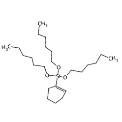 CCCCCCO[Si](OCCCCCC)(OCCCCCC)C1=CCCCC1